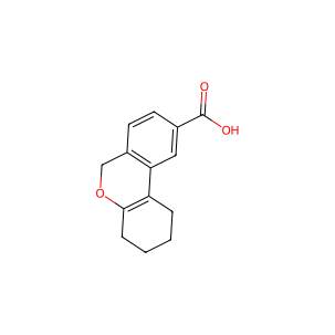 O=C(O)c1ccc2c(c1)C1=C(CCCC1)OC2